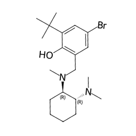 CN(C)[C@@H]1CCCC[C@H]1N(C)Cc1cc(Br)cc(C(C)(C)C)c1O